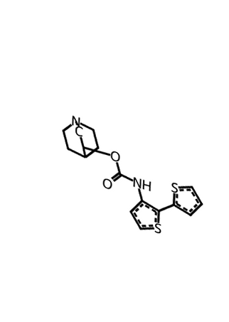 O=C(Nc1ccsc1-c1cccs1)OC1CN2CCC1CC2